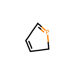 C1=CCP=C1